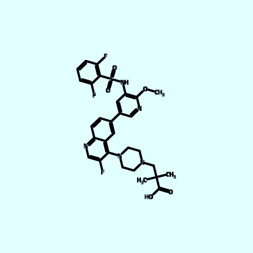 COc1ncc(-c2ccc3ncc(F)c(N4CCN(CC(C)(C)C(=O)O)CC4)c3c2)cc1NS(=O)(=O)c1c(F)cccc1F